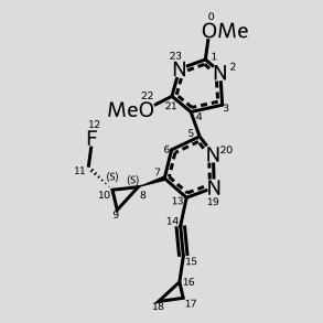 COc1ncc(-c2cc([C@H]3C[C@@H]3CF)c(C#CC3CC3)nn2)c(OC)n1